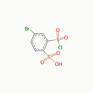 O=S(=O)(O)c1ccc(Br)cc1S(=O)(=O)Cl